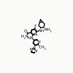 Cc1ncc(Nc2nc(N[C@@H]3CC4CC4C[C@@H]3N)c(F)cc2C(N)=O)cc1-n1nccn1